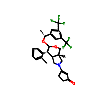 Cc1ccccc1[C@@H]1C(O[C@H](C)c2cc(C(F)(F)F)cc(C(F)(F)F)c2)OC[C@@H]2CN(C3=CC(=O)CC3)CC21